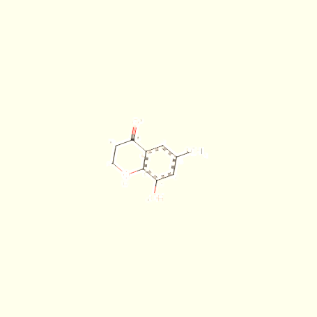 Cc1cc(O)c2c(c1)C(=O)CCO2